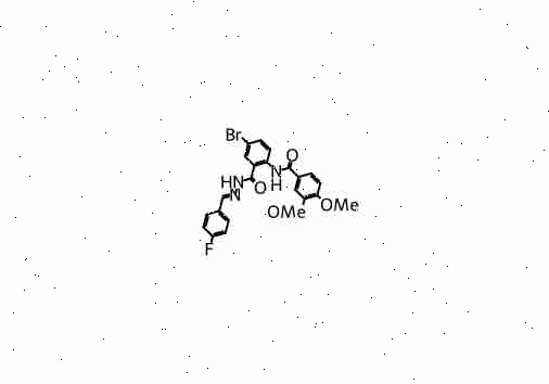 COc1ccc(C(=O)Nc2ccc(Br)cc2C(=O)NN=Cc2ccc(F)cc2)cc1OC